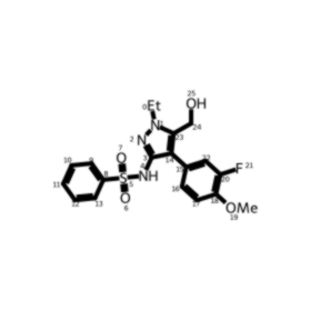 CCn1nc(NS(=O)(=O)c2ccccc2)c(-c2ccc(OC)c(F)c2)c1CO